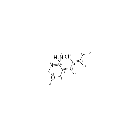 CC/C(C)=C(Cl)/C(C)=C(COC)\C(N)=N/C